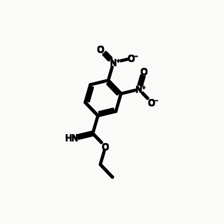 CCOC(=N)c1ccc([N+](=O)[O-])c([N+](=O)[O-])c1